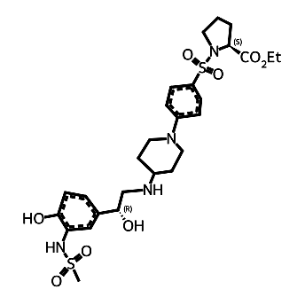 CCOC(=O)[C@@H]1CCCN1S(=O)(=O)c1ccc(N2CCC(NC[C@H](O)c3ccc(O)c(NS(C)(=O)=O)c3)CC2)cc1